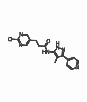 Cc1c(-c2ccncc2)n[nH]c1NC(=O)CCc1cnc(Cl)nc1